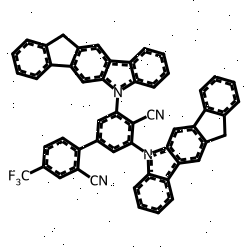 N#Cc1cc(C(F)(F)F)ccc1-c1cc(-n2c3ccccc3c3cc4c(cc32)-c2ccccc2C4)c(C#N)c(-n2c3ccccc3c3cc4c(cc32)-c2ccccc2C4)c1